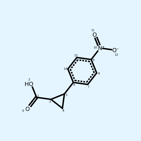 O=C(O)C1CC1c1ccc([N+](=O)[O-])cc1